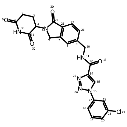 O=C1CCC(N2Cc3cc(CNC(=O)c4cn(-c5cccc(Cl)c5)nn4)ccc3C2=O)C(=O)N1